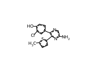 Cc1ccc(-c2nc(N)cnc2-c2ccc(O)c(Cl)c2)s1